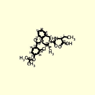 CCC(NC(=O)N1Cc2ccccc2N(C(=O)c2ccc(OC(C)C)cc2Cl)C[C@H]1C)C(=O)O